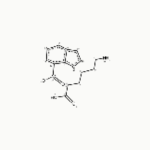 NCCCCCC(=O)O.O=[N+]([O-])c1cccc2ccoc12